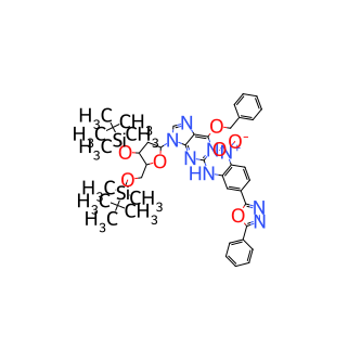 CC(C)(C)[Si](C)(C)OCC1OC(n2cnc3c(OCc4ccccc4)nc(Nc4cc(-c5nnc(-c6ccccc6)o5)ccc4[N+](=O)[O-])nc32)CC1O[Si](C)(C)C(C)(C)C